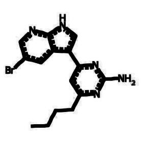 CCCCc1cc(-c2c[nH]c3ncc(Br)cc23)nc(N)n1